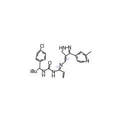 C=C/C(=N\C=C1/CNN=C1c1ccnc(C)c1)NC(=O)NC(c1ccc(Cl)cc1)C(C)CC